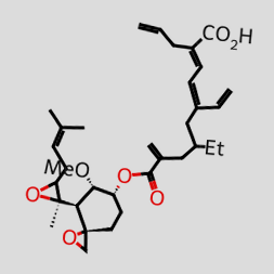 C=CC/C(=C\C=C(/C=C)CC(CC)CC(=C)C(=O)O[C@@H]1CC[C@]2(CO2)[C@@H]([C@@]2(C)OC2CC=C(C)C)[C@@H]1OC)C(=O)O